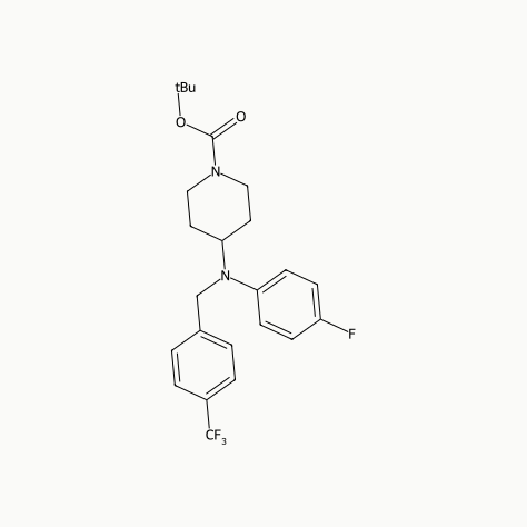 CC(C)(C)OC(=O)N1CCC(N(Cc2ccc(C(F)(F)F)cc2)c2ccc(F)cc2)CC1